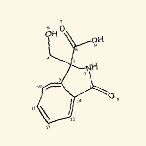 O=C1NC(CO)(C(=O)O)c2ccccc21